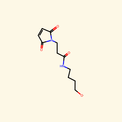 [O]CCCCNC(=O)CCN1C(=O)C=CC1=O